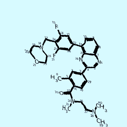 Cc1cc(-c2cnc3cccc(-c4cc(F)c(CN5CCOCC5)c(F)c4)c3n2)ccc1C(=O)N(C)CCN(C)C